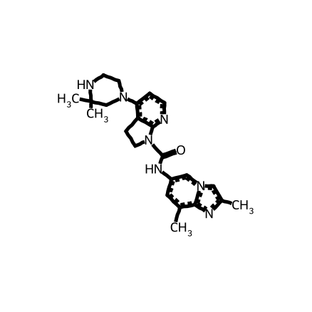 Cc1cn2cc(NC(=O)N3CCc4c(N5CCNC(C)(C)C5)ccnc43)cc(C)c2n1